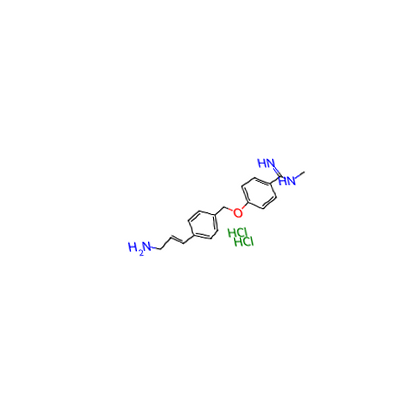 CNC(=N)c1ccc(OCc2ccc(/C=C/CN)cc2)cc1.Cl.Cl